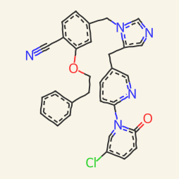 N#Cc1ccc(Cn2cncc2Cc2ccc(-n3cc(Cl)ccc3=O)nc2)cc1OCCc1ccccc1